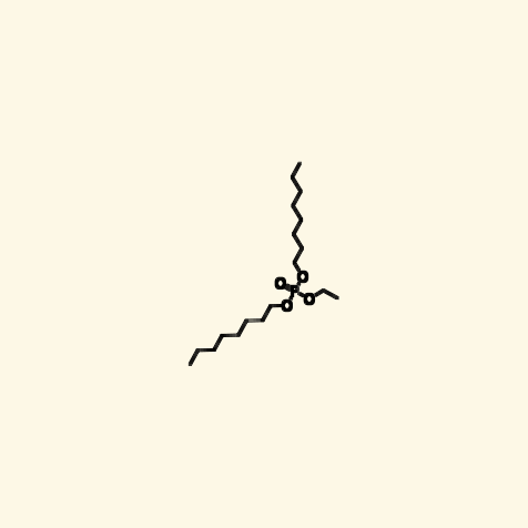 CCCCCCCCOP(=O)(OCC)OCCCCCCCC